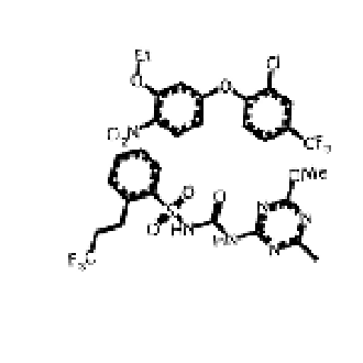 CCOc1cc(Oc2ccc(C(F)(F)F)cc2Cl)ccc1[N+](=O)[O-].COc1nc(C)nc(NC(=O)NS(=O)(=O)c2ccccc2CCC(F)(F)F)n1